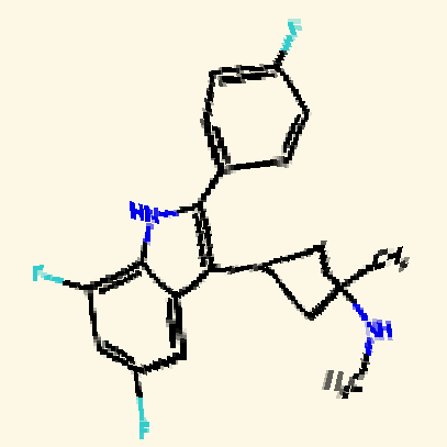 CNC1(C)CC(c2c(-c3ccc(F)cc3)[nH]c3c(F)cc(F)cc23)C1